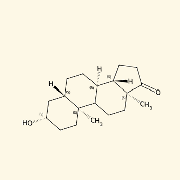 C[C@]12CCC3[C@@H](CC[C@H]4C[C@@H](O)CC[C@]34C)[C@@H]1CCC2=O